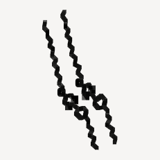 CCCCCCCCCCCCCCCOc1cnc(-c2ccc(CCCCCCC)cc2)nc1.CCCCCCCCCCCCCCCOc1cnc(-c2ccc(CCCCCCCC)cc2)nc1